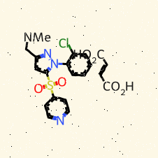 CNCc1cc(S(=O)(=O)c2ccncc2)n(-c2ccccc2Cl)n1.O=C(O)/C=C/C(=O)O